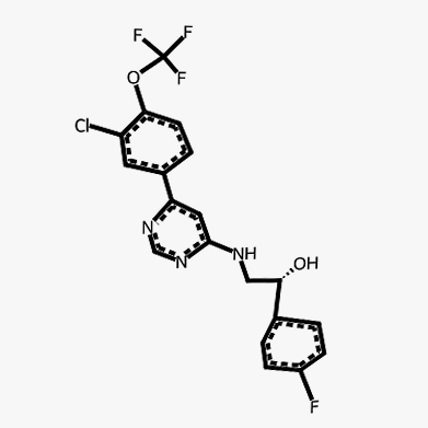 O[C@@H](CNc1cc(-c2ccc(OC(F)(F)F)c(Cl)c2)ncn1)c1ccc(F)cc1